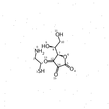 NCCS.O=C1O[C@H]([C@@H](O)CO)C(=O)C1=O